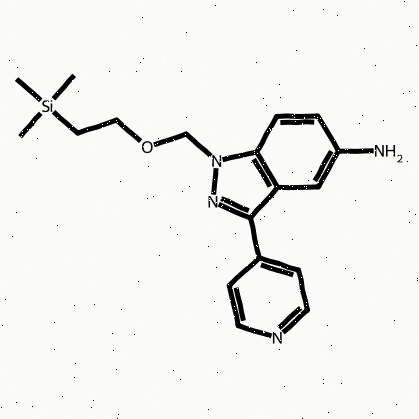 C[Si](C)(C)CCOCn1nc(-c2ccncc2)c2cc(N)ccc21